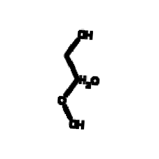 O.OCCOO